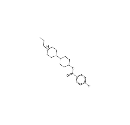 CCC[SiH]1CCC(C2CCC(OC(=O)c3ccc(F)cc3)CC2)CC1